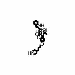 CCC[PH](O)(CCc1cc2ccccc2[nH]1)N[C@@H](Cc1ccc(OCCCCC2CCNCC2)cc1)C(=O)O